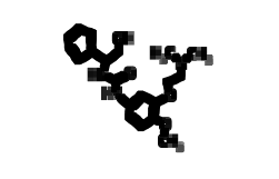 COc1ccc(NC(=O)NC(CO)c2ccccc2)cc1OCCN(C)C